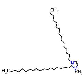 CCCCCCCCCCCCCCCCCCC1N(C)C=CN1CCCCCCCCCCCCCCCC